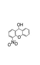 O=[N+]([O-])c1cccc2c1Oc1ccccc1C2O